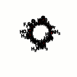 CC(C)C[C@H]1NC(=O)[C@H](C)N(C)C(=O)[C@H](CCC(N)=O)NC(=O)[C@H](Cc2ccc(-c3ccccc3)cc2)NC(=O)[C@H](CCc2ccccc2)NC(=O)[C@H](Cc2cccc(C(F)(F)F)c2)NC(=O)[C@H](CC(=O)O)NC(=O)[C@H](CCC(N)=O)NC(=O)[C@H]([C@@H](C)N)NC(=O)CSC[C@@H](C(=O)N[C@@H](CCN)C(N)=O)NC(=O)[C@H](CCCN)NC(=O)[C@H](C(C)C)NC(=O)[C@H](CC2CCCCC2)NC(=O)[C@H](CCN)NC1=O